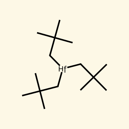 CC(C)(C)[CH2][Hf]([CH2]C(C)(C)C)[CH2]C(C)(C)C